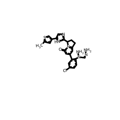 Cc1cc(-c2cnc(C3CCc4cc(-c5cc(Cl)ccc5N(N)/C=N\N)cc(=O)n43)[nH]2)cs1